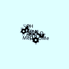 COc1cccc(OC)c1-n1c(NS(=O)(=O)CC[C@@](C)(O)C2CCCC2)nnc1-c1ccco1